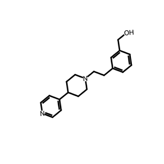 OCc1cccc(CCN2CCC(c3ccncc3)CC2)c1